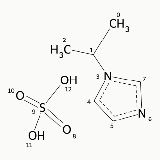 CC(C)n1ccnc1.O=S(=O)(O)O